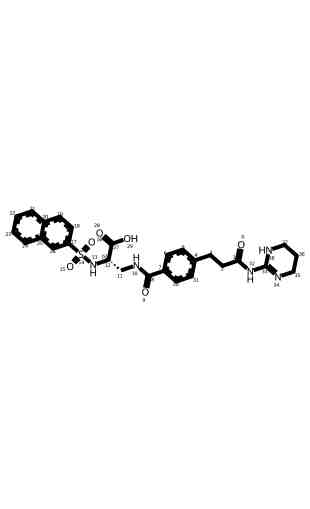 O=C(CCc1ccc(C(=O)NC[C@H](NS(=O)(=O)c2ccc3ccccc3c2)C(=O)O)cc1)NC1=NCCCN1